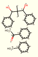 CC(C)(C(O)c1ccccc1)C(O)c1ccccc1.O=C(O)C(=O)c1ccccc1.O=C(O)c1ccccc1